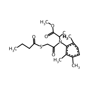 CCCC(=O)SCC(=O)N(c1c(C)ccc(C)c1C)C(C)C(=O)OC